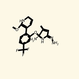 COC1=C(c2ccc(C(F)(F)F)cc2O[C@]2(N)N/C(=N\N)C=C2C)C=CCN1